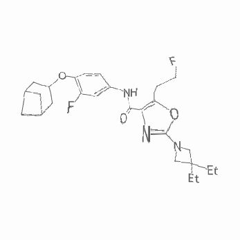 CCC1(CC)CN(c2nc(C(=O)Nc3ccc(OC4CC5CC(C5)C4)c(F)c3)c(CCF)o2)C1